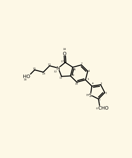 O=Cc1ccc(-c2ccc3c(c2)CN(CCCO)C3=O)s1